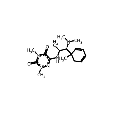 C[C@H](Nc1nn(C)c(=O)n(C)c1=O)[C@@H](N(C)C)C1(C)C=CC=CC1